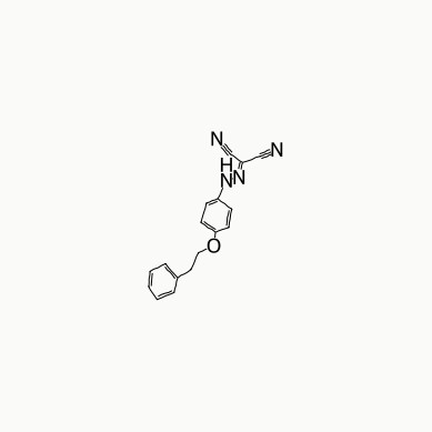 N#CC(C#N)=NNc1ccc(OCCc2ccccc2)cc1